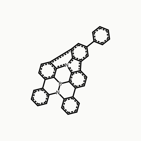 c1ccc(-c2cc3c4ccc5c6c4n4c7c8c(ccc7c(c2)c34)-c2ccccc2N(B68)c2ccccc2-5)cc1